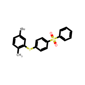 Cc1ccc(C(C)(C)C)cc1Sc1ccc(S(=O)(=O)c2ccccc2)cc1